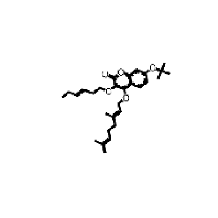 CC/C=C/CCOc1c(OC/C=C(\C)CCC=C(C)C)c2ccc(OC(C)(C)C)cc2oc1=O